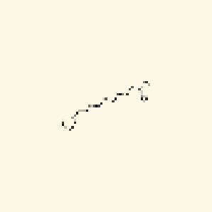 [O]C(=O)CCCCCCCCCC1CCCC1